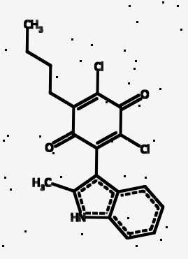 CCCCC1=C(Cl)C(=O)C(Cl)=C(c2c(C)[nH]c3ccccc23)C1=O